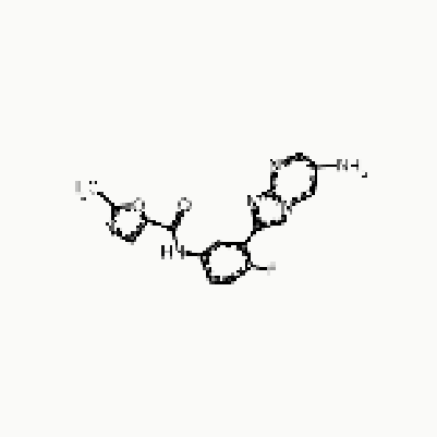 Cc1ncc(C(=O)Nc2ccc(F)c(-c3cn4cc(N)cnc4n3)c2)o1